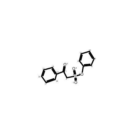 O=C(CS(=O)(=O)Oc1ccccc1)c1ccccc1